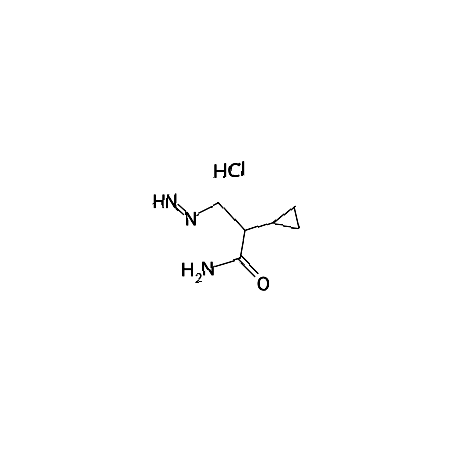 Cl.N=NCC(C(N)=O)C1CC1